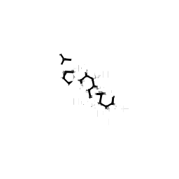 CC(C)C[C@H]1CCN(C2OC(CO)C(OC3(C)OCC(O)C(O)C3O)C(O)C2O)C1